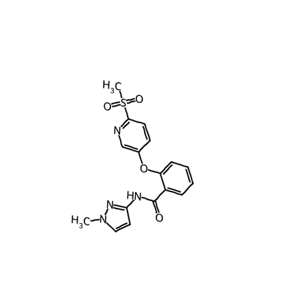 Cn1ccc(NC(=O)c2ccccc2Oc2ccc(S(C)(=O)=O)nc2)n1